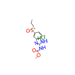 CCC[S+]([O-])c1ccc2[nH]c(NC(=O)OC)nc2c1.Cl